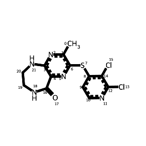 Cc1nc2c(nc1Sc1ccnc(Cl)c1Cl)C(=O)NCCN2